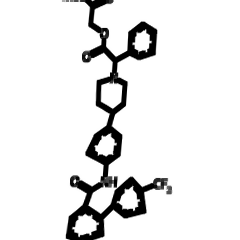 COC(=O)COC(=O)C(c1ccccc1)N1CCC(c2ccc(NC(=O)c3ccccc3-c3ccc(C(F)(F)F)cc3)cc2)CC1